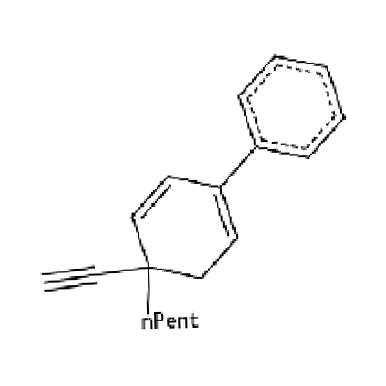 C#CC1(CCCCC)C=CC(c2ccccc2)=CC1